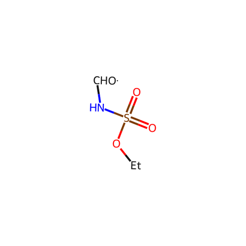 CCOS(=O)(=O)N[C]=O